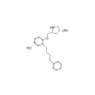 Cl.O[C@H]1CNC(COc2ccccc2CCCCc2ccccc2)C1